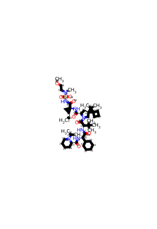 C=C[C@@H]1C[C@]1(NC(=O)[C@@H]1C[C@@]2(CN1C(=O)[C@@H](NC(=O)[C@@H](NC(=O)[C@@H]1CCCCN1C(C)C)C1CCCCC1)C(C)(C)C)C(C)(C)C21CCC1)C(=O)NS(=O)(=O)N(C)CCOC